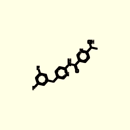 CC(O)c1ccc(C(=O)Nc2ccc(Cc3cc(F)cc(F)c3)cn2)cn1